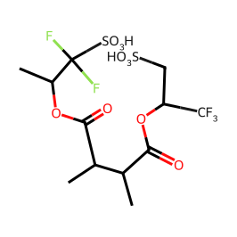 CC(C(=O)OC(CS(=O)(=O)O)C(F)(F)F)C(C)C(=O)OC(C)C(F)(F)S(=O)(=O)O